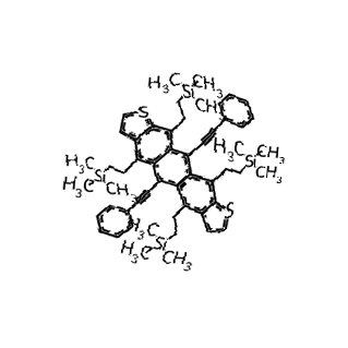 C[Si](C)(C)CCc1c2ccsc2c(CC[Si](C)(C)C)c2c(C#Cc3ccccc3)c3c(CC[Si](C)(C)C)c4sccc4c(CC[Si](C)(C)C)c3c(C#Cc3ccccc3)c12